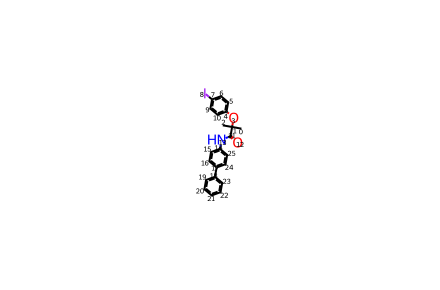 CC(C)(Oc1ccc(I)cc1)C(=O)Nc1ccc(-c2ccccc2)cc1